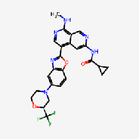 CNc1ncc(-c2nc3cc(N4CCO[C@H](C(F)(F)F)C4)ccc3o2)c2cc(NC(=O)C3CC3)ncc12